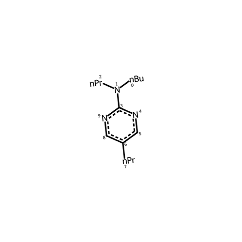 CCCCN(CCC)c1ncc(CCC)cn1